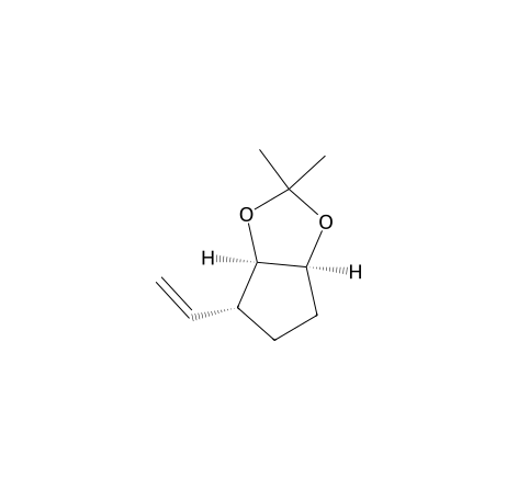 C=C[C@H]1CC[C@@H]2OC(C)(C)O[C@@H]21